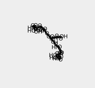 CC(C)(CCC(=O)NCCOCCOCCN(CCOCCOCCNC(=O)CCC(C)(C)C(=O)OC[C@@H]1[C@@H](O)[C@H](O)[C@H](O)[C@H]2NC(=O)C(=O)N12)C(=O)CCNC(=O)CCC(=O)O)C(=O)OC[C@@H]1[C@@H](O)[C@H](O)[C@H](O)[C@H]2NC(=O)C(=O)N12